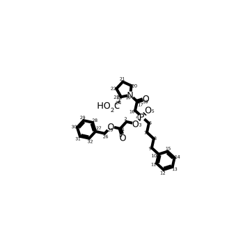 O=C(COP(=O)(CCCCc1ccccc1)CC(=O)N1CCC[C@H]1C(=O)O)OCc1ccccc1